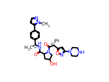 CC(C)[C@@H](C(=O)N1CC(O)CC1C(=O)N[C@@H](C)c1ccc(-c2ccnn2C)cc1)c1cc(N2CCNCC2)no1